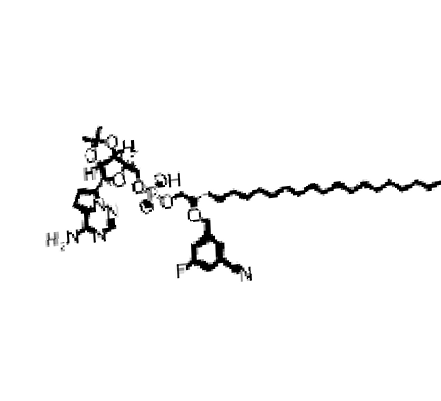 CCCCCCCCCCCCCCCCCCC[C@@H](COP(=O)(O)OC[C@@]1(C)O[C@@H](c2ccc3c(N)ncnn23)[C@@H]2OC(C)(C)O[C@@H]21)OCc1cc(F)cc(C#N)c1